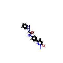 CC1CC(=O)NN=C1c1ccc(NC(=O)CNc2ccccc2)cc1